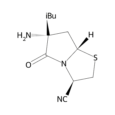 CC[C@H](C)[C@@]1(N)C[C@@H]2SC[C@@H](C#N)N2C1=O